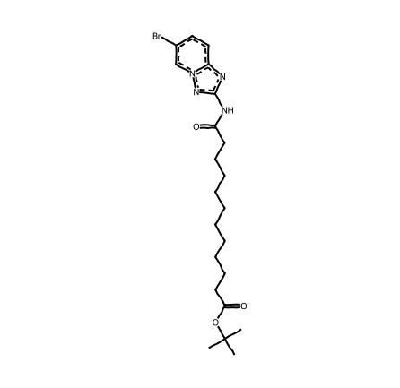 CC(C)(C)OC(=O)CCCCCCCCCCC(=O)Nc1nc2ccc(Br)cn2n1